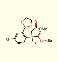 COC(=O)CC(C#N)(C(=O)OC(C)(C)C)c1ccc(Cl)cc1C1OCCO1